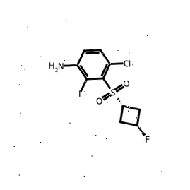 Nc1ccc(Cl)c(S(=O)(=O)[C@H]2C[C@H](F)C2)c1I